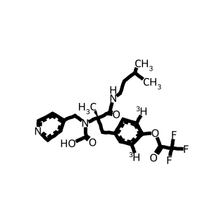 [3H]c1cc(C[C@@](C)(C(=O)NCCC(C)C)N(Cc2ccncc2)C(=O)O)cc([3H])c1OC(=O)C(F)(F)F